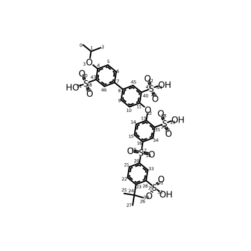 CC(C)Oc1ccc(-c2ccc(Oc3ccc(S(=O)(=O)c4ccc(C(C)(C)C)c(S(=O)(=O)O)c4)cc3S(=O)(=O)O)c(S(=O)(=O)O)c2)cc1S(=O)(=O)O